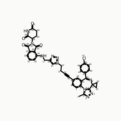 Cc1nnc2n1-c1ccc(C#CCCn3cc(CNc4cccc5c4C(=O)N(C4CCC(=O)NC4=O)C5=O)nn3)cc1C(c1ccc(Cl)cc1)=NC21CC1